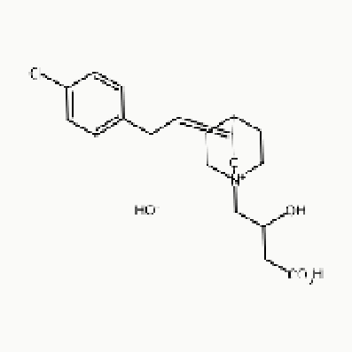 O=C(O)CC(O)C[N+]12CCC(CC1)/C(=C/Cc1ccc(Cl)cc1)C2.[OH-]